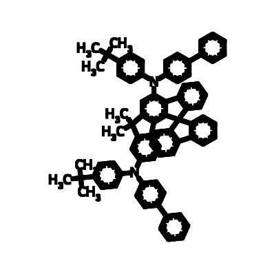 CC(C)(C)c1ccc(N(c2ccc(-c3ccccc3)cc2)c2ccc3c(c2)C(C)(C)c2cc(N(c4ccc(-c5ccccc5)cc4)c4ccc(C(C)(C)C)cc4)c4c(c2-3)C2(c3ccccc3-c3ccccc32)c2ccccc2-4)cc1